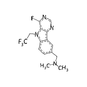 CN(C)Cc1ccc2c(c1)c1ncnc(F)c1n2CC(F)(F)F